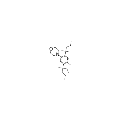 CCCC(C)(C)c1cc(C)c(C(C)(CC)CCC)cc1N1CCOCC1